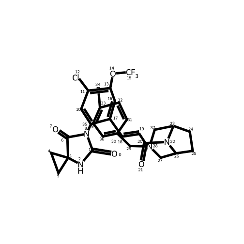 O=C1NC2(CC2)C(=O)N1c1cc(Cl)c(OC(F)(F)F)cc1C=CC(=O)N1C2CCC1CN(Cc1ccc(F)cc1)C2